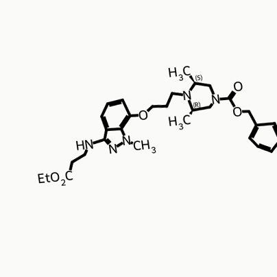 CCOC(=O)CCNc1nn(C)c2c(OCCCN3[C@H](C)CN(C(=O)OCc4ccccc4)C[C@@H]3C)cccc12